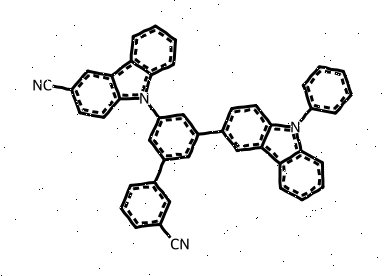 N#Cc1cccc(-c2cc(-c3ccc4c(c3)c3ccccc3n4-c3ccccc3)cc(-n3c4ccccc4c4cc(C#N)ccc43)c2)c1